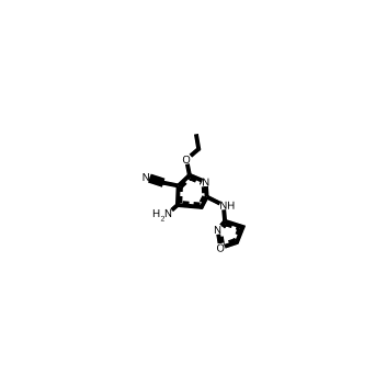 CCOc1nc(Nc2ccon2)cc(N)c1C#N